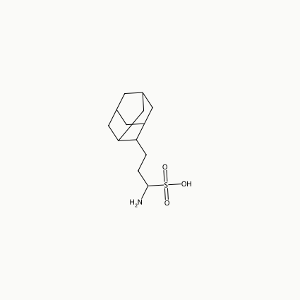 NC(CCC1C2CC3CC(C2)CC1C3)S(=O)(=O)O